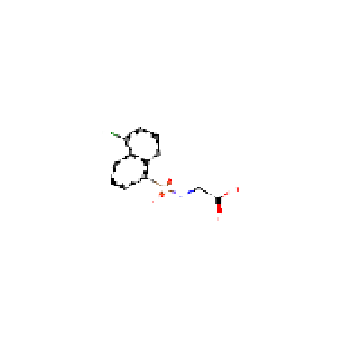 O=C(O)CNS(=O)(=O)c1cccc2c(Br)cccc12